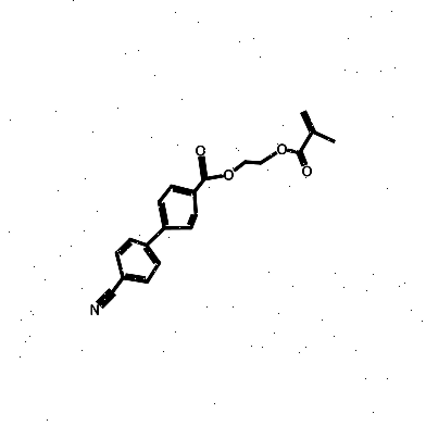 C=C(C)C(=O)OCCOC(=O)c1ccc(-c2ccc(C#N)cc2)cc1